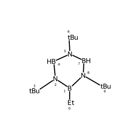 CCB1N(C(C)(C)C)BN(C(C)(C)C)BN1C(C)(C)C